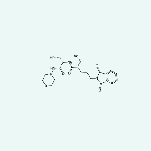 CC(=O)SC(CCCN1C(=O)c2ccccc2C1=O)C(=O)N[C@@H](CC(C)C)C(=O)NN1CCOCC1